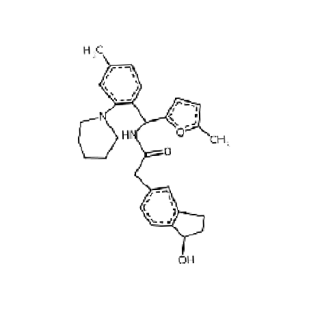 Cc1ccc(C(NC(=O)Cc2ccc3c(c2)CCC3O)c2ccc(C)o2)c(N2CCCCC2)c1